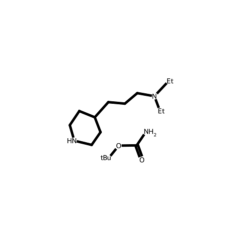 CC(C)(C)OC(N)=O.CCN(CC)CCCC1CCNCC1